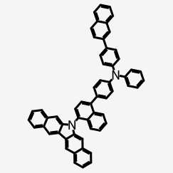 c1ccc(N(c2ccc(-c3ccc4ccccc4c3)cc2)c2ccc(-c3ccc(-n4c5cc6ccccc6cc5c5cc6ccccc6cc54)c4ccccc34)cc2)cc1